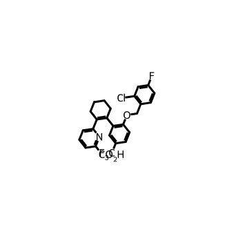 O=C(O)c1cccc(C2=C(c3cc(C(F)(F)F)ccc3OCc3ccc(F)cc3Cl)CCCC2)n1